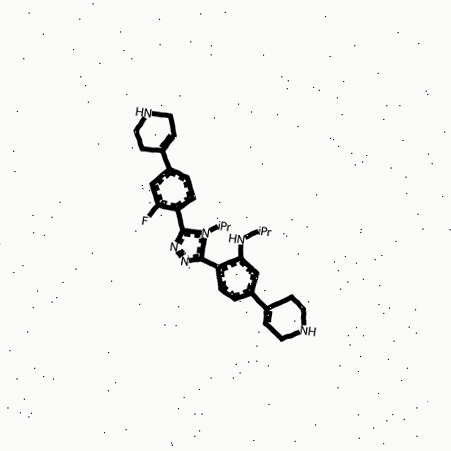 CC(C)Nc1cc(C2=CCNCC2)ccc1-c1nnc(-c2ccc(C3=CCNCC3)cc2F)n1C(C)C